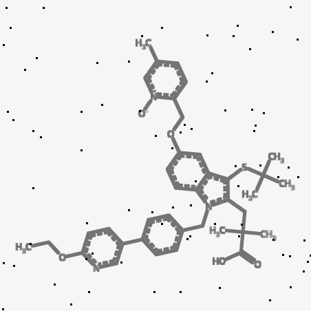 CCOc1ccc(-c2ccc(Cn3c(CC(C)(C)C(=O)O)c(SC(C)(C)C)c4cc(OCc5ccc(C)c[n+]5[O-])ccc43)cc2)cn1